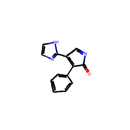 O=C1N=CC(c2ncc[nH]2)=C1c1ccccc1